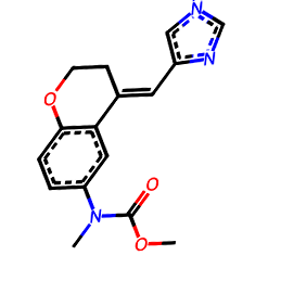 COC(=O)N(C)c1ccc2c(c1)/C(=C/c1c[nH]cn1)CCO2